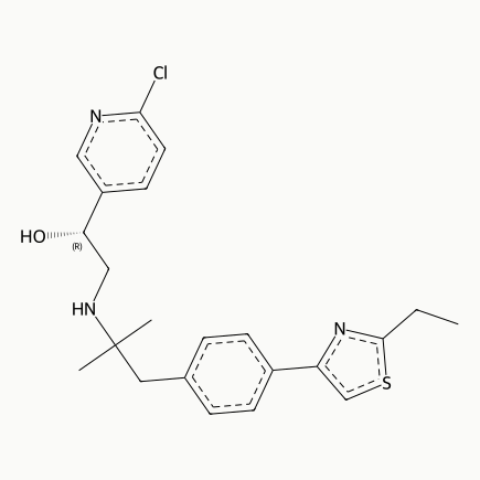 CCc1nc(-c2ccc(CC(C)(C)NC[C@H](O)c3ccc(Cl)nc3)cc2)cs1